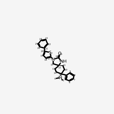 CN(C)[C@]1(c2ccccc2)CC[C@@]2(CC1)CN(c1ccc(-c3ccccc3)s1)C(=O)N2